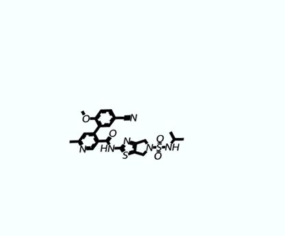 COc1ccc(C#N)cc1-c1cc(C)ncc1C(=O)Nc1nc2c(s1)CN(S(=O)(=O)NC(C)C)C2